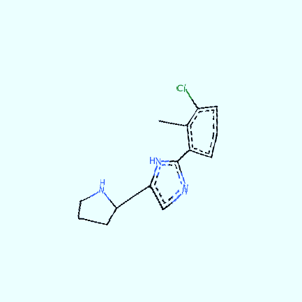 Cc1c(Cl)cccc1-c1ncc(C2CCCN2)[nH]1